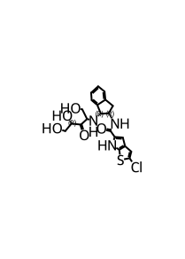 O=C(N[C@@H]1Cc2ccccc2[C@H]1NC(CO)C(=O)[C@H](O)CO)c1cc2cc(Cl)sc2[nH]1